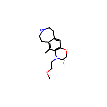 COCCN1c2c(cc3c(c2C)CCNCC3)OC[C@@H]1C